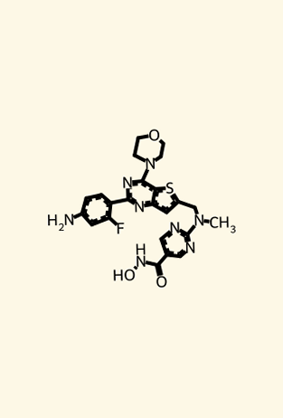 CN(Cc1cc2nc(-c3ccc(N)cc3F)nc(N3CCOCC3)c2s1)c1ncc(C(=O)NO)cn1